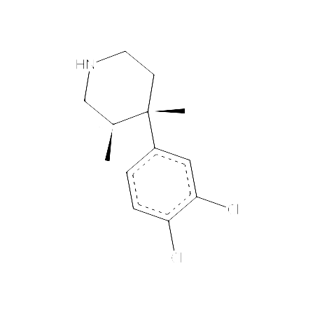 C[C@H]1CNCC[C@]1(C)c1ccc(Cl)c(Cl)c1